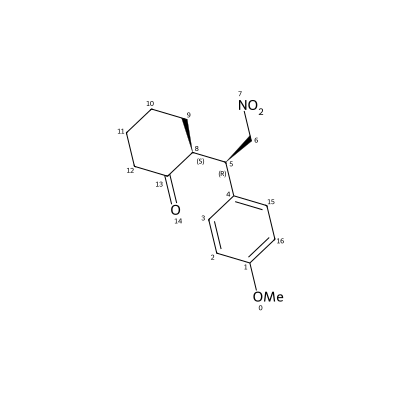 COc1ccc([C@H](C[N+](=O)[O-])[C@@H]2CCCCC2=O)cc1